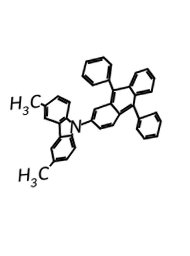 Cc1ccc2c(c1)c1cc(C)ccc1n2-c1ccc2c(-c3ccccc3)c3ccccc3c(-c3ccccc3)c2c1